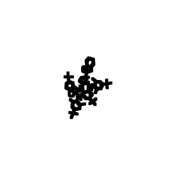 Cc1cc(C(C)(C)C)cc(C)c1N1c2cc(-c3cc4ccccc4o3)ccc2B2c3c1cc(C(C)(C)C)cc3N(c1c(C)cc(C(C)(C)C)cc1C)c1oc3ccc(C(C)(C)C)cc3c12